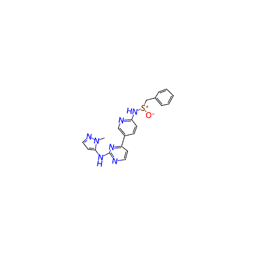 Cn1nccc1Nc1nccc(-c2ccc(N[S+]([O-])Cc3ccccc3)nc2)n1